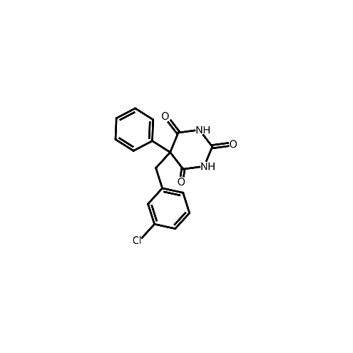 O=C1NC(=O)C(Cc2cccc(Cl)c2)(c2ccccc2)C(=O)N1